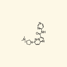 CN(C)[C@H]1CCN(c2ccc3ncc(C(=O)Nc4ccncn4)n3n2)C1